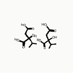 CC(C)C(O)(CC(=O)O)C(=O)O.CC(C)C(O)(CC(=O)O)C(=O)O